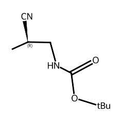 C[C@@H](C#N)CNC(=O)OC(C)(C)C